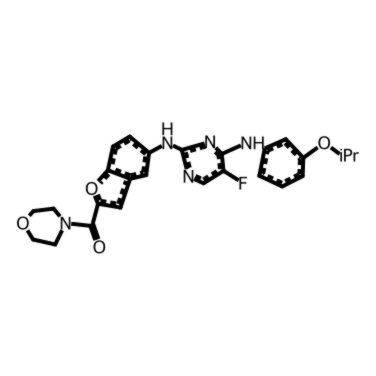 CC(C)Oc1cccc(Nc2nc(Nc3ccc4oc(C(=O)N5CCOCC5)cc4c3)ncc2F)c1